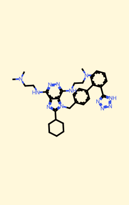 CN(C)CCNc1nnc(NCCN(C)C)c2c1nc(C1CCCCC1)n2Cc1ccc(-c2ccccc2-c2nnn[nH]2)cc1